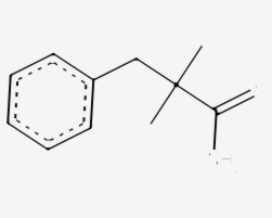 CC(C)(Cc1ccccc1)C(N)=S